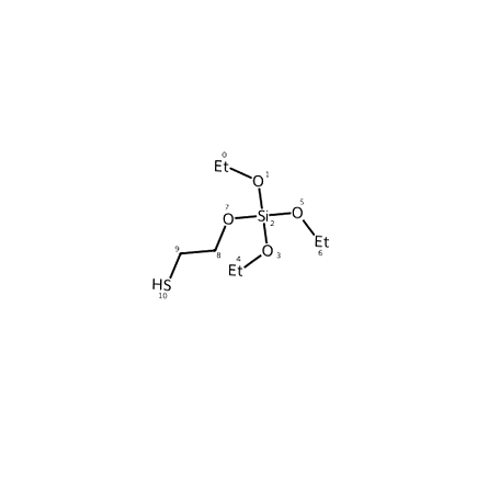 CCO[Si](OCC)(OCC)OCCS